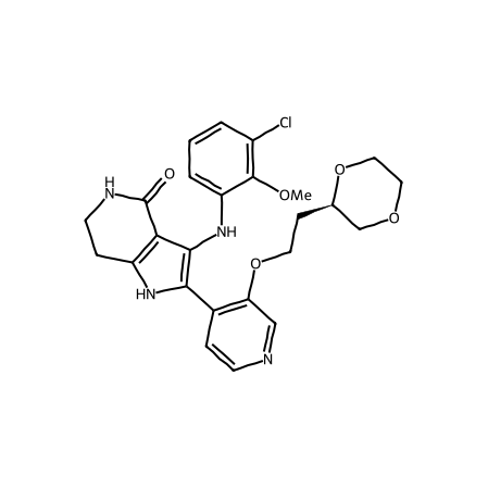 COc1c(Cl)cccc1Nc1c(-c2ccncc2OCC[C@@H]2COCCO2)[nH]c2c1C(=O)NCC2